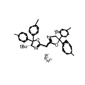 Cc1ccc(C2(c3ccc(C)cc3)OC(CC3=N[C@H](C(C)(C)C)C(c4ccc(C)cc4)(c4ccc(C)cc4)O3)=N[C@@H]2C(C)(C)C)cc1.[Br-].[Br-].[Pd+2]